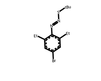 CCc1cc(Br)cc(CC)c1/N=N/SC(C)(C)C